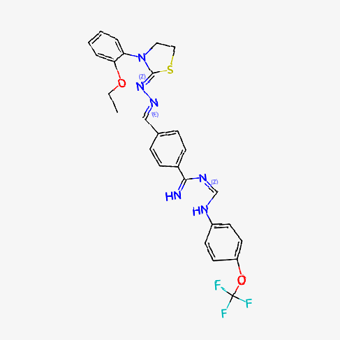 CCOc1ccccc1N1CCS/C1=N\N=C\c1ccc(C(=N)/N=C\Nc2ccc(OC(F)(F)F)cc2)cc1